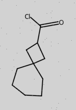 O=C(Cl)C1CC2(CCCCC2)C1